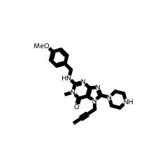 CC#CCn1c(N2CCNCC2)nc2nc(NCc3ccc(OC)cc3)n(C)c(=O)c21